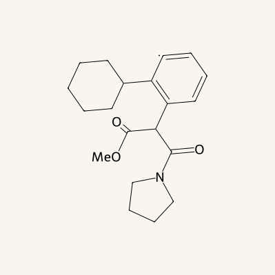 COC(=O)C(C(=O)N1CCCC1)c1ccc[c]c1C1CCCCC1